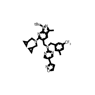 Cc1cc(CN(Cc2cc3c(C)nn(C(C)(C)C)c3nc2N(CC2CC2)CC2CC2)c2ncc(-c3ccon3)cn2)cc(C(F)(F)F)c1